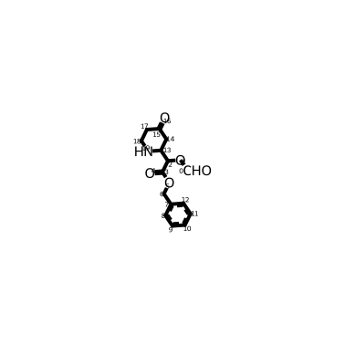 O=COC(C(=O)OCc1ccccc1)C1CC(=O)CCN1